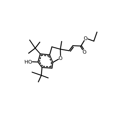 CCOC(=O)/C=C/C1(C)Cc2c(cc(C(C)(C)C)c(O)c2C(C)(C)C)O1